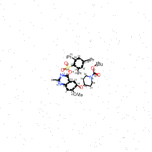 COc1cc2nc(C)nc(OS(=O)(=O)c3c(C(C)C)cc(C(C)C)cc3C(C)C)c2cc1OC1CCN(C(=O)OC(C)(C)C)CC1